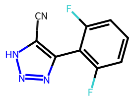 N#Cc1[nH]nnc1-c1c(F)cccc1F